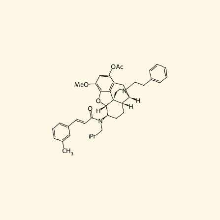 COc1cc(OC(C)=O)c2c3c1O[C@H]1[C@H](N(CC(C)C)C(=O)C=Cc4cccc(C)c4)CC[C@H]4[C@@H](C2)N(CCc2ccccc2)CC[C@@]341